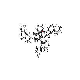 C=C/C=C\c1oc2cccc(-c3cccc4c3sc3c5ccccc5ccc43)c2c1-c1nc(-c2ccccc2)nc(-c2ccc3ccc4ccccc4c3c2)n1